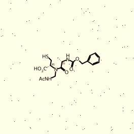 CC(=O)NCN(C(=O)[C@H](C)NC(=O)OCc1ccccc1)[C@@H](CS)C(=O)O